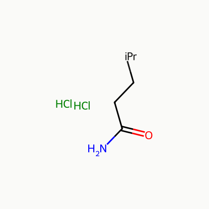 CC(C)CCC(N)=O.Cl.Cl